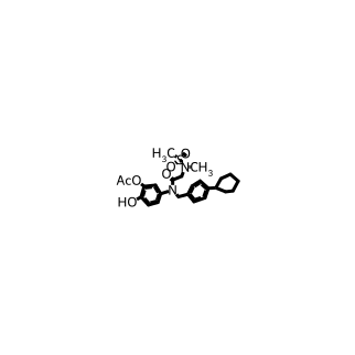 CC(=O)Oc1cc(N(Cc2ccc(C3CCCCC3)cc2)C(=O)CN(C)S(C)(=O)=O)ccc1O